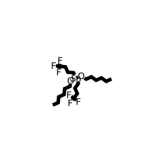 CCCCCC[O][Sn]([CH2]CCC(F)(F)F)([CH2]CCC(F)(F)F)[O]CCCCCC